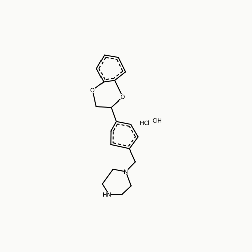 Cl.Cl.c1ccc2c(c1)OCC(c1ccc(CN3CCNCC3)cc1)O2